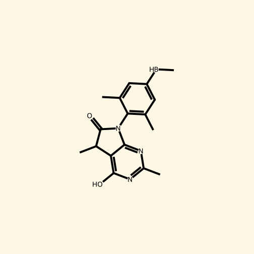 CBc1cc(C)c(N2C(=O)C(C)c3c(O)nc(C)nc32)c(C)c1